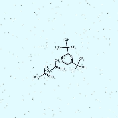 C=C(C)C(=O)O.C=C(C)C(=O)O.OC(c1cccc(C(O)(C(F)(F)F)C(F)(F)F)c1)(C(F)(F)F)C(F)(F)F